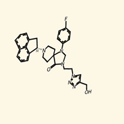 O=C1N(CCn2cc(CO)nn2)CN(c2ccc(F)cc2)C12CCN([C@H]1Cc3cccc4cccc1c34)CC2